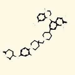 Cc1cc2c(N3CCN(C)c4ccc(C#N)cc43)cc(C3CCN(CC4(F)CCN(c5ccc(NC6CCC(=O)NC6=O)cc5F)CC4)CC3)cc2n(C)c1=O